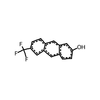 Oc1ccc2cc3cc(C(F)(F)F)ccc3cc2c1